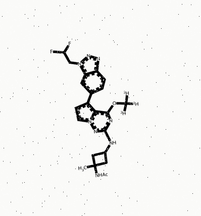 [2H]C([2H])([2H])Oc1nc(NC2CC(C)(NC(C)=O)C2)nn2ccc(-c3ccc4nnn(CC(F)F)c4c3)c12